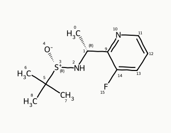 C[C@@H](N[S@@+]([O-])C(C)(C)C)c1ncccc1F